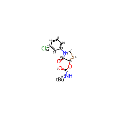 CC(C)(C)NC(=O)OC1SCN(c2cccc(Cl)c2)C1=O